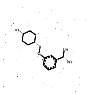 CCC[C@@H](O)c1cccc(OC[C@H]2CC[C@@H](O)CC2)c1